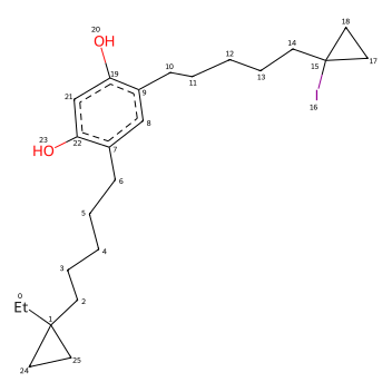 CCC1(CCCCCc2cc(CCCCCC3(I)CC3)c(O)cc2O)CC1